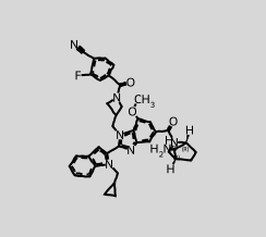 COc1cc(C(=O)N2C[C@H]3CC[C@@H]2[C@@H]3N)cc2nc(-c3cc4ccccc4n3CC3CC3)n(CC3CN(C(=O)c4ccc(C#N)c(F)c4)C3)c12